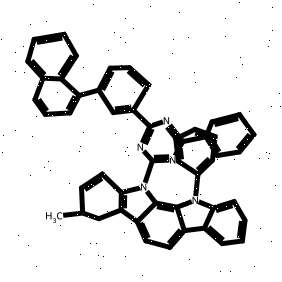 CC1C=Cc2c(c3ccc4c5ccccc5n(-c5ccccc5)c4c3n2-c2nc(-c3ccccc3)nc(-c3cccc(-c4cccc5ccccc45)c3)n2)C1